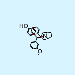 COc1cccc(C(=C2CC3CCC(C2)N3Cc2ccccc2)c2ccc(O)cc2)c1